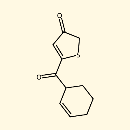 O=C1C=C(C(=O)C2C=CCCC2)SC1